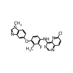 Cc1c(Oc2ccc3c(c2)ncn3C)ccc(Nc2ncnc3ccc(Cl)nc23)c1F